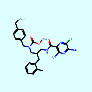 Cc1ccccc1CC(CNC(=O)c1nc(Cl)c(N)nc1N)CN(Cc1ccc(CC(=O)O)cc1)C(=O)OC(C)(C)C